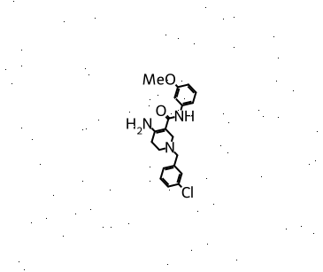 COc1cccc(NC(=O)C2=C(N)CCN(Cc3cccc(Cl)c3)C2)c1